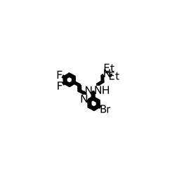 CCN(CC)CCCNc1nc(C=Cc2ccc(F)c(F)c2)nc2ccc(Br)cc12